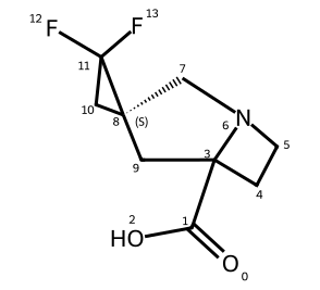 O=C(O)C12CCN1C[C@]1(C2)CC1(F)F